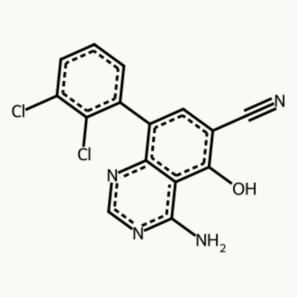 N#Cc1cc(-c2cccc(Cl)c2Cl)c2ncnc(N)c2c1O